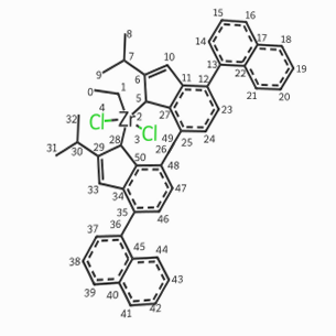 C[CH2][Zr]([Cl])([Cl])([CH]1C(C(C)C)=Cc2c(-c3cccc4ccccc34)ccc(C)c21)[CH]1C(C(C)C)=Cc2c(-c3cccc4ccccc34)ccc(C)c21